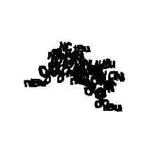 [C-]#[N+]c1cnn(-c2cc(C(=O)OCCCC)cc(C(=O)OCCCC)c2)c1N=Nc1c(C(C)(C)C)nn(-c2nc(OCCCC)nc(-n3nc(C(C)(C)C)c(N=Nc4c(C#N)cnn4-c4cc(C(=O)OCCCC)cc(C(=O)OCCCC)c4)c3O)n2)c1O